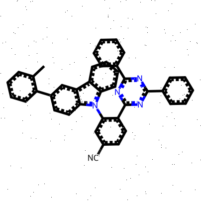 Cc1ccccc1-c1ccc2c(c1)c1ccccc1n2-c1cc(C#N)ccc1-c1nc(-c2ccccc2)nc(-c2ccccc2)n1